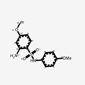 COc1ccc(NS(=O)(=O)c2ccc(OC(C)C)cc2N)cc1